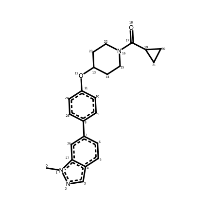 Cn1ncc2ccc(-c3ccc(OC4CCN(C(=O)C5CC5)CC4)cc3)cc21